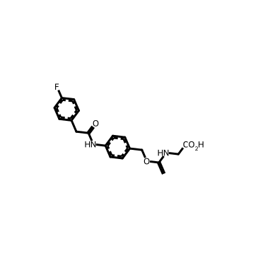 C=C(NCC(=O)O)OCc1ccc(NC(=O)Cc2ccc(F)cc2)cc1